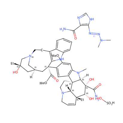 CC[C@]1(O)C[C@H]2C[N@](CCc3c([nH]c4ccccc34)[C@@](C(=O)OC)(c3cc4c(cc3OC)N(C)[C@H]3[C@@](O)(C(N)=O)[C@H](O)[C@]5(CC)C=CCN6CC[C@]43[C@@H]65)C2)C1.CN(C)/N=N/c1[nH]cnc1C(N)=O.O=S(=O)(O)O